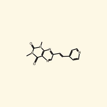 Cn1c(=O)c2ncc(C=Cc3ccncc3)nc2n(C)c1=O